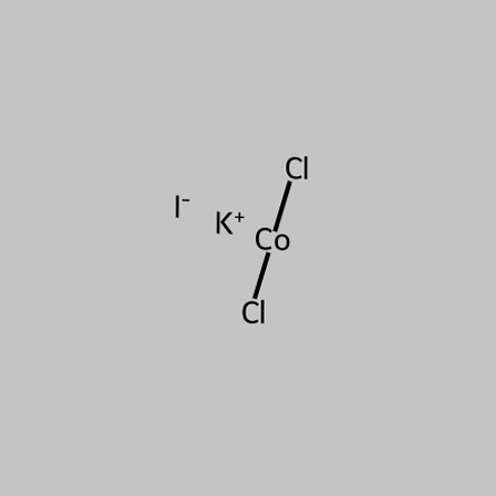 [Cl][Co][Cl].[I-].[K+]